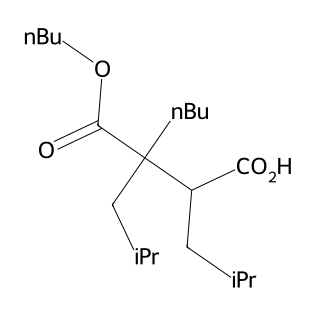 CCCCOC(=O)C(CCCC)(CC(C)C)C(CC(C)C)C(=O)O